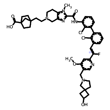 COc1cc(/C(F)=C/c2cccc(-c3cccc(NC(=O)c4nc5c(n4C)CCN(CCC46CCC(C(=O)O)(CC4)C6)C5)c3Cl)c2Cl)ncc1CN1CCC2(CC(O)C2)C1